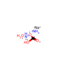 N.N.O.O=C([O-])O.[Na+]